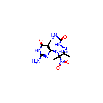 C/C(=N/NC(N)=O)C(C)(Nc1nc(N)[nH]c(=O)c1C)[N+](=O)[O-]